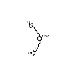 COc1cc(CCCOCC2COC(=O)O2)ccc1CCCOCC1COC(=O)O1